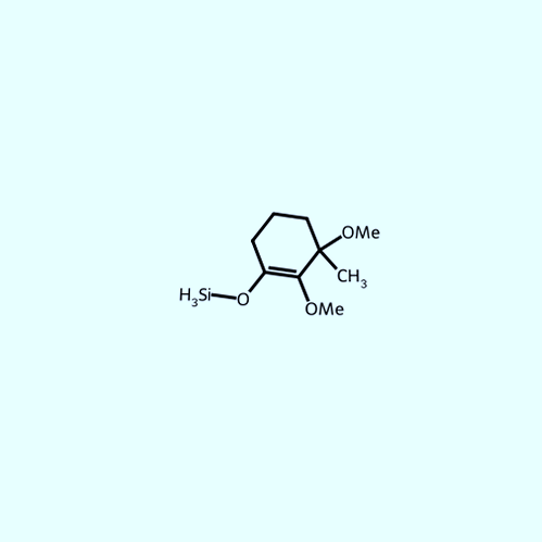 COC1=C(O[SiH3])CCCC1(C)OC